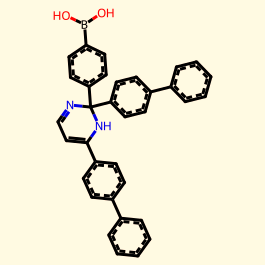 OB(O)c1ccc(C2(c3ccc(-c4ccccc4)cc3)N=CC=C(c3ccc(-c4ccccc4)cc3)N2)cc1